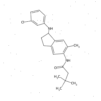 Cc1cc2c(cc1NC(=O)CC(C)(C)C)CCC2Nc1cccc(Cl)c1